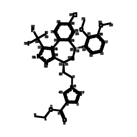 CCOC(=O)c1cnn(CC[C@@H]2S[C@@H](c3cccc(OC)c3OC)c3cc(Cl)ccc3-n3c2nnc3C(F)(F)F)c1